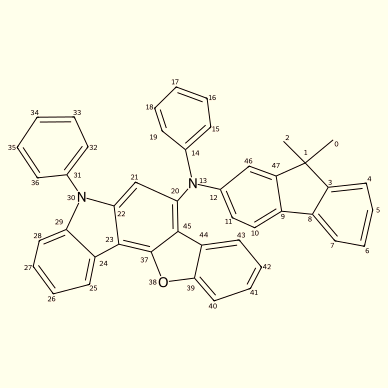 CC1(C)c2ccccc2-c2ccc(N(c3ccccc3)c3cc4c(c5ccccc5n4-c4ccccc4)c4oc5ccccc5c34)cc21